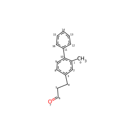 Cc1cc(CCC=O)ccc1-c1ccccc1